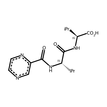 CC(C)[C@H](NC(=O)[C@@H](NC(=O)c1cnccn1)C(C)C)C(=O)O